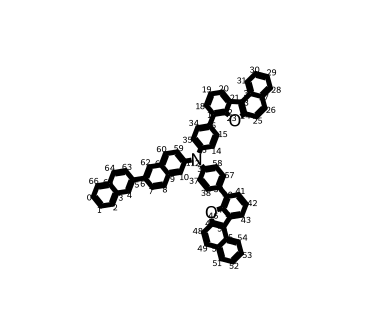 c1ccc2cc(-c3ccc4cc(N(c5ccc(-c6cccc7c6oc6ccc8ccccc8c67)cc5)c5ccc(-c6cccc7c6oc6ccc8ccccc8c67)cc5)ccc4c3)ccc2c1